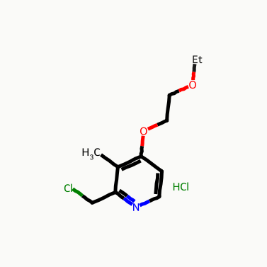 CCOCCOc1ccnc(CCl)c1C.Cl